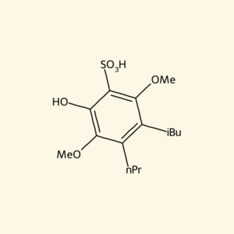 CCCc1c(OC)c(O)c(S(=O)(=O)O)c(OC)c1C(C)CC